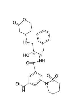 CCNc1cc(C(=O)N[C@@H](Cc2ccccc2)[C@H](O)CNC2CCOC(=O)C2)cc(N2CCCCS2(=O)=O)c1